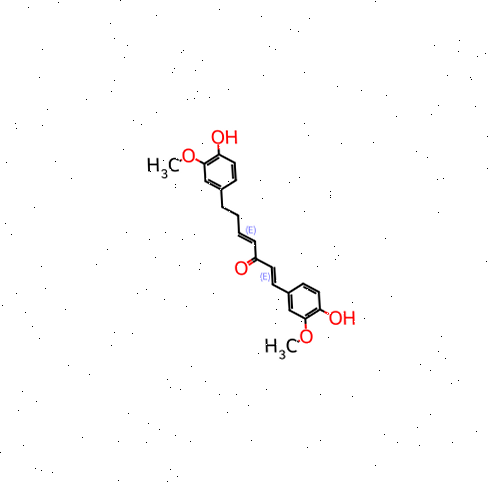 COc1cc(/C=C/C(=O)/C=C/CCc2ccc(O)c(OC)c2)ccc1O